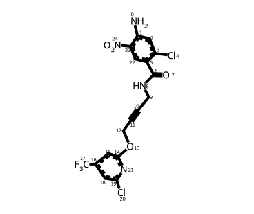 Nc1cc(Cl)c(C(=O)NCC#CCOc2cc(C(F)(F)F)cc(Cl)n2)cc1[N+](=O)[O-]